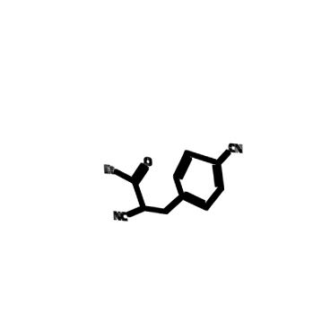 CCC(=O)C(C#N)Cc1ccc(C#N)cc1